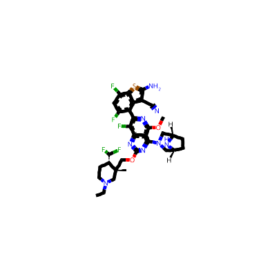 CCN1CC[C@H](C(F)F)[C@](C)(COc2nc(N3C[C@H]4CC[C@@H](C3)N4)c3c(OC)nc(-c4c(F)cc(F)c5sc(N)c(C#N)c45)c(F)c3n2)C1